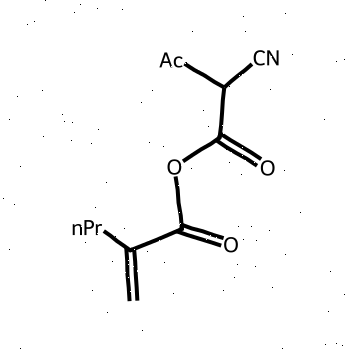 C=C(CCC)C(=O)OC(=O)C(C#N)C(C)=O